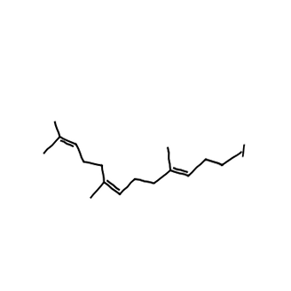 CC(C)=CCCC(C)=CCC/C(C)=C/CCI